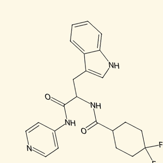 O=C(NC(Cc1c[nH]c2ccccc12)C(=O)Nc1ccncc1)C1CCC(F)(F)CC1